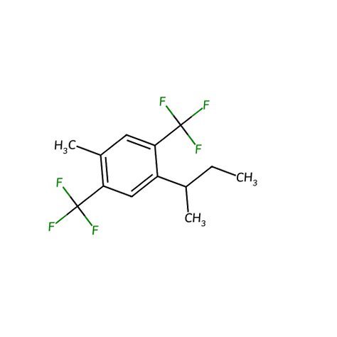 CCC(C)c1cc(C(F)(F)F)c(C)cc1C(F)(F)F